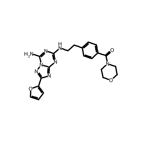 Nc1nc(NCCc2ccc(C(=O)N3CCOCC3)cc2)nc2nc(-c3ccco3)nn12